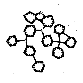 c1ccc(-c2ccc(N(c3ccccc3)c3cccc(N(c4cccc(C5(c6ccccc6)c6ccccc6-c6ccccc65)c4)c4cccc5oc6ccccc6c45)c3)cc2)cc1